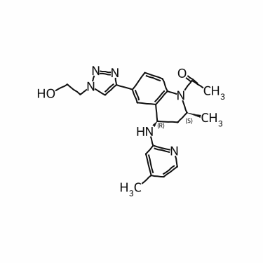 CC(=O)N1c2ccc(-c3cn(CCO)nn3)cc2[C@H](Nc2cc(C)ccn2)C[C@@H]1C